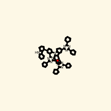 c1ccc(-c2nc(-c3ccccc3)nc(-c3ccc4c(c3)c3cc(-c5nc(-c6ccccc6)nc(-c6ccccc6)n5)ccc3n4-c3ccc(-c4cccc5[nH]c6ccccc6c45)cc3-c3nc(-c4ccccc4)nc(-c4ccccc4)n3)n2)cc1